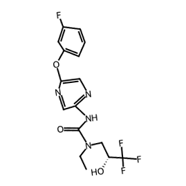 CCN(C[C@@H](O)C(F)(F)F)C(=O)Nc1cnc(Oc2cccc(F)c2)cn1